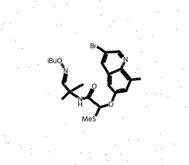 CSC(Oc1cc(C)c2ncc(Br)cc2c1)C(=O)NC(C)(C)C=NOCC(C)C